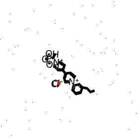 CCCc1cccc(-[n+]2ccc(-c3cc[n+](C(C)P(=O)(O)O)cc3)cc2)c1.[Cl-].[Cl-]